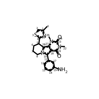 Cc1csc(C2CCCn3c(-c4cccc(N)c4)c4c(=O)n(C)c(=O)n(C)c4c32)n1